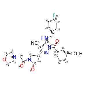 N#Cc1c(C2CC(=O)N(C(=O)CN3CCOCC3)C2)nn(C(=O)c2cccc(C(=O)O)c2)c1NCc1ccc(F)cc1